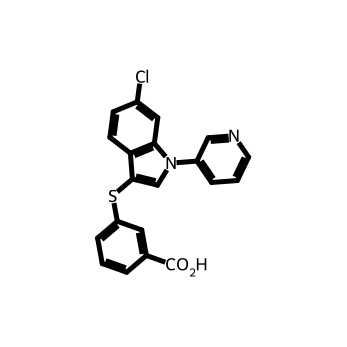 O=C(O)c1cccc(Sc2cn(-c3cccnc3)c3cc(Cl)ccc23)c1